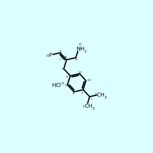 CC(C)c1ccc(C/C(=C\F)CN)cc1.Cl